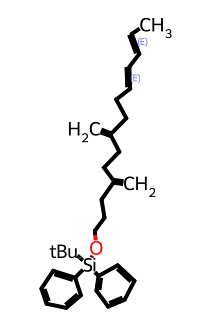 C=C(CC/C=C/C=C/C)CCC(=C)CCCO[Si](c1ccccc1)(c1ccccc1)C(C)(C)C